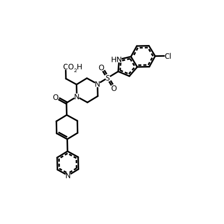 O=C(O)CC1CN(S(=O)(=O)c2cc3cc(Cl)ccc3[nH]2)CCN1C(=O)C1CC=C(c2ccncc2)CC1